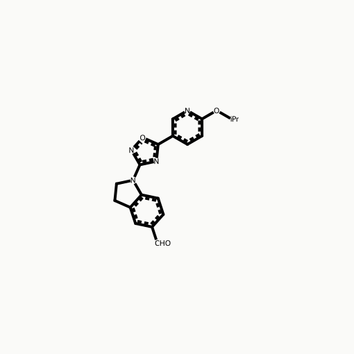 CC(C)Oc1ccc(-c2nc(N3CCc4cc(C=O)ccc43)no2)cn1